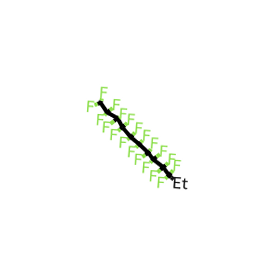 [CH2]CC(F)(F)C(F)(F)C(F)(F)C(F)(F)C(F)(F)C(F)(F)C(F)(F)C(F)(F)C(F)(F)C(F)F